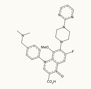 COc1c(N2CCN(c3ncccn3)CC2)c(F)cc2c(=O)c(C(=O)O)cn(-c3ccc(CN(C)C)cc3)c12